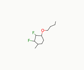 CCCCOC1CCC(C)C(F)C1F